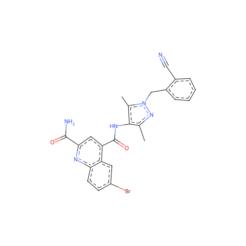 Cc1nn(Cc2ccccc2C#N)c(C)c1NC(=O)c1cc(C(N)=O)nc2ccc(Br)cc12